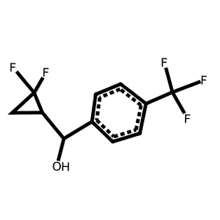 OC(c1ccc(C(F)(F)F)cc1)C1CC1(F)F